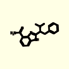 CN(C)C(Cc1ccccc1)c1nc2c(C(N)=O)cccc2[nH]1